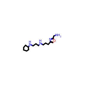 NCc1nc(CCCNCCCNC2CCCCC2)co1